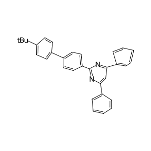 CC(C)(C)c1ccc(-c2ccc(-c3nc(-c4ccccc4)cc(-c4ccccc4)n3)cc2)cc1